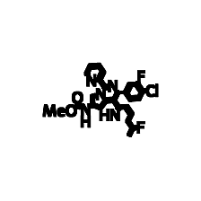 COC(=O)NC1CC2=C(C(=N)/C=C\CC(C)F)[C@H](c3ccc(Cl)c(F)c3)N=C(c3ccccn3)N2C1